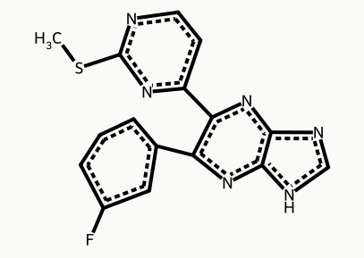 CSc1nccc(-c2nc3nc[nH]c3nc2-c2cccc(F)c2)n1